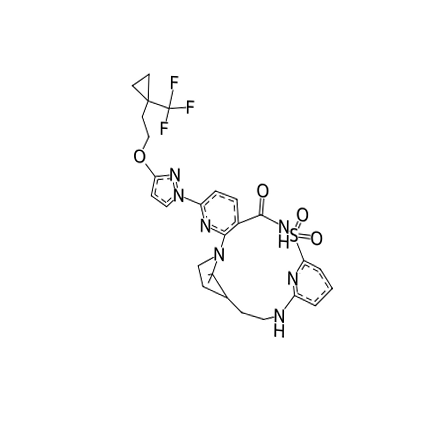 CC1(C)C2CCNc3cccc(n3)S(=O)(=O)NC(=O)c3ccc(-n4ccc(OCCC5(C(F)(F)F)CC5)n4)nc3N1CC2